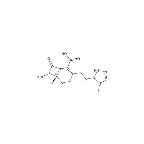 CN1C=NNN1SCC1=C(C(=O)O)N2C(=O)C(N)[C@H]2SC1